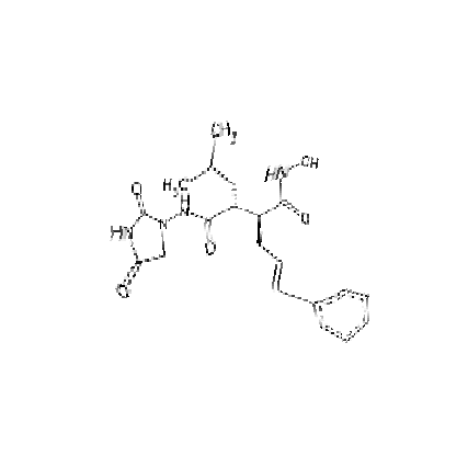 CC(C)C[C@@H](C(=O)NN1CC(=O)NC1=O)[C@H](CC=Cc1ccccc1)C(=O)NO